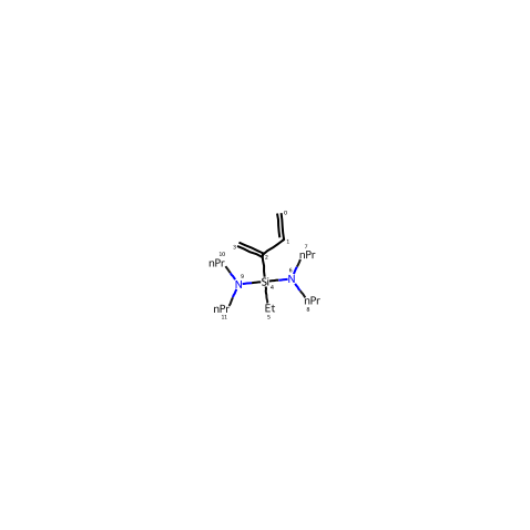 C=CC(=C)[Si](CC)(N(CCC)CCC)N(CCC)CCC